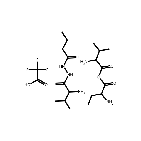 CCC(N)C(=O)OC(=O)C(N)C(C)C.CCCC(=O)NNC(=O)C(N)C(C)C.O=C(O)C(F)(F)F